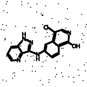 Oc1ncc(Cl)c2cc(Nc3n[nH]c4cccnc34)ccc12